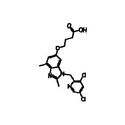 Cc1cc(OCCCC(=O)O)cc2c1nc(C)n2Cc1ncc(Cl)cc1Cl